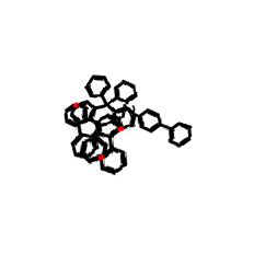 c1ccc(-c2ccc(N(c3cc(-c4ccccc4)cc(-c4ccccc4)c3)c3ccccc3C3(c4ccccc4)c4ccccc4C4(c5ccccc5)c5ccccc5-c5cccc3c54)cc2)cc1